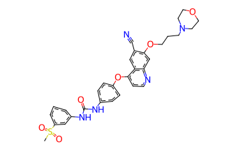 CS(=O)(=O)c1cccc(NC(=O)Nc2ccc(Oc3ccnc4cc(OCCCN5CCOCC5)c(C#N)cc34)cc2)c1